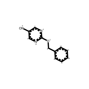 O=Nc1cnc(OCc2ccccc2)nc1